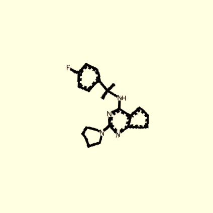 CC(C)(Nc1nc(N2CCCC2)nc2ccccc12)c1ccc(F)cc1